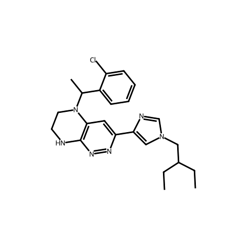 CCC(CC)Cn1cnc(-c2cc3c(nn2)NCCN3C(C)c2ccccc2Cl)c1